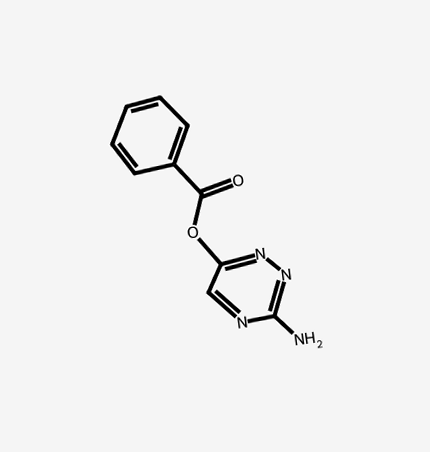 Nc1ncc(OC(=O)c2ccccc2)nn1